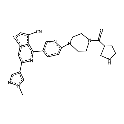 Cn1cc(-c2cn3ncc(C#N)c3c(-c3ccc(N4CCN(C(=O)C5CCNC5)CC4)nc3)n2)cn1